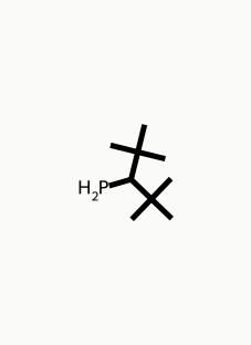 CC(C)(C)C(P)C(C)(C)C